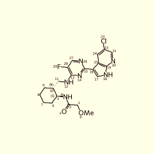 COCC(=O)N[C@H]1CCCC[C@@H]1CNc1nc(-c2c[nH]c3ncc(Cl)cc23)ncc1F